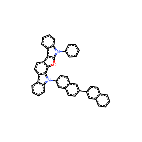 c1ccc(-n2c3ccccc3c3c4ccc5c6ccccc6n(-c6ccc7cc(-c8ccc9ccccc9c8)ccc7c6)c5c4oc32)cc1